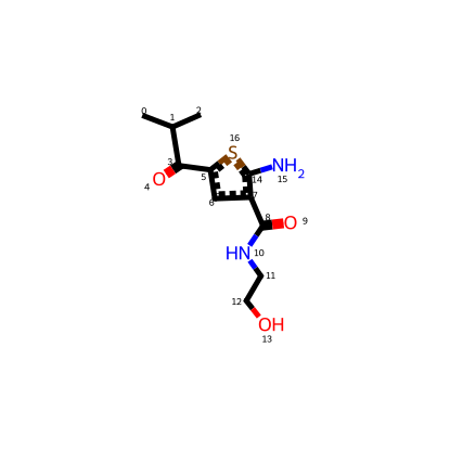 CC(C)C(=O)c1cc(C(=O)NCCO)c(N)s1